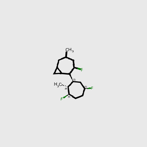 CC1CC(F)C([C@H]2C[C@@H](F)CC[C@@H](F)[C@@H]2C)C2CC2C1